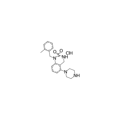 Cc1ccccc1CN1c2cccc(N3CCNCC3)c2CNS1(=O)=O.Cl